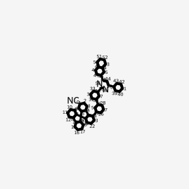 N#Cc1ccc2c(c1)C1(c3ccccc3-c3ccccc31)c1cccc(-c3cccc(-c4cccc(-c5nc(-c6ccccc6)cc(-c6ccc7ccccc7c6)n5)c4)c3)c1-2